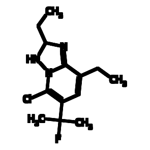 CCC1=CC(C(C)(C)F)=C(Cl)N2NC(CC)N=C12